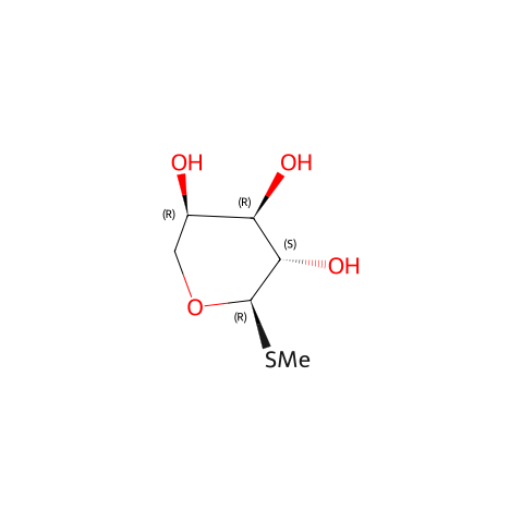 CS[C@H]1OC[C@@H](O)[C@@H](O)[C@@H]1O